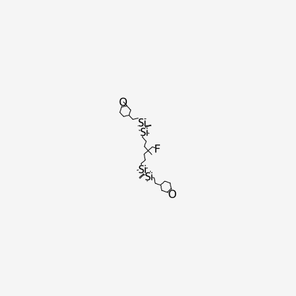 C=C([Si](C)(C)CCCC(C)(CF)CCC[Si](C)(C)C(=C)[Si](C)(C)CCC1CCC2OC2C1)[Si](C)(C)CCC1CCC2OC2C1